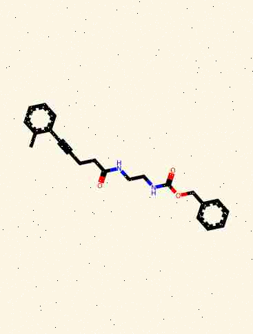 Cc1ccccc1C#CCCC(=O)NCCNC(=O)OCc1ccccc1